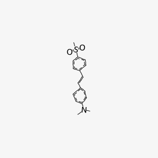 CN(C)c1ccc(C=Cc2ccc(S(C)(=O)=O)cc2)cc1